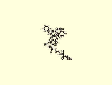 CC(C)C[C@@H](NC(=O)[C@@H](Cc1ccccc1)NC(=O)[C@@H](Cc1ccccc1)NC(=O)OC(C)(C)C)C(=O)N[C@H](C)CCCCNC(=O)OC(C)(C)C